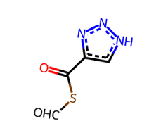 O=CSC(=O)c1c[nH]nn1